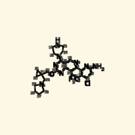 Nc1cc(Cl)c(C(F)(F)F)c(-c2ncc3c(N4CCNCC4)nc(OCC4(CN5CCCC5)CC4)nc3c2C(F)(F)F)n1